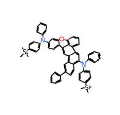 C[Si](C)(C)c1ccc(N(c2ccccc2)c2ccc3c(c2)Oc2cccc4c2c-3cc2c3cc(-c5ccccc5)ccc3c(N(c3ccccc3)c3ccc([Si](C)(C)C)cc3)cc42)cc1